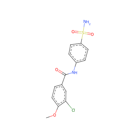 COc1ccc(C(=O)Nc2ccc(S(N)(=O)=O)cc2)cc1Cl